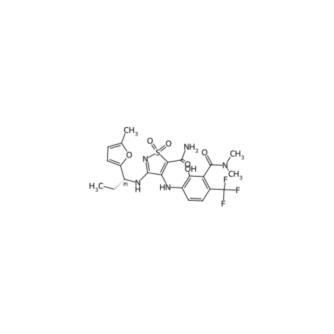 CC[C@@H](NC1=NS(=O)(=O)C(C(N)=O)=C1Nc1ccc(C(F)(F)F)c(C(=O)N(C)C)c1O)c1ccc(C)o1